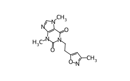 Cc1cc(CCn2c(=O)c3c(ncn3C)n(C)c2=O)on1